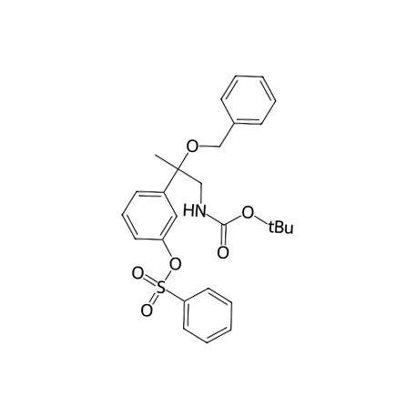 CC(C)(C)OC(=O)NCC(C)(OCc1ccccc1)c1cccc(OS(=O)(=O)c2ccccc2)c1